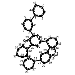 c1ccc(-c2cccc(-c3nc(-c4cccc5oc6ccc(-c7ccccc7)cc6c45)nc4c3sc3ccccc34)c2)cc1